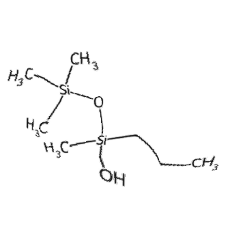 CCC[Si](C)(O)O[Si](C)(C)C